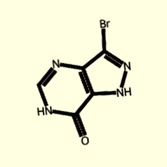 O=c1[nH]cnc2c(Br)n[nH]c12